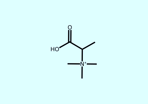 CC(C(=O)O)[N+](C)(C)C